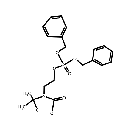 CC(C)(C)N(CCOP(=O)(OCc1ccccc1)OCc1ccccc1)C(=O)O